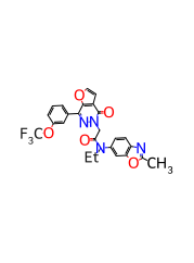 CCN(C(=O)Cn1nc(-c2cccc(OC(F)(F)F)c2)c2occc2c1=O)c1ccc2nc(C)oc2c1